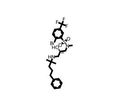 CN(C[C@H](O)CNC(C)(C)CCCc1ccccc1)S(=O)(=O)c1cc(C(F)(F)F)ccc1Br